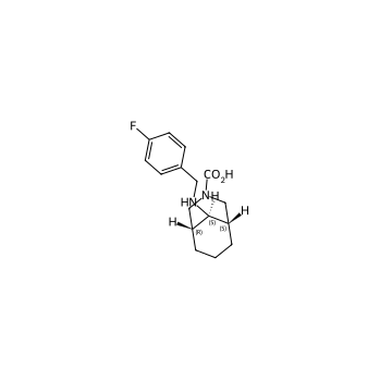 O=C(O)N1C[C@H]2CCC[C@@H](C1)[C@@H]2NCc1ccc(F)cc1